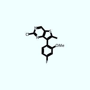 COc1cc(F)ccc1-c1c(C)sc2cnc(Cl)nc12